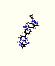 Cc1nn(C2CC2)c(C)c1Cc1nnc2cc(-c3ccnc(Nc4ccnn4C)n3)ccn12